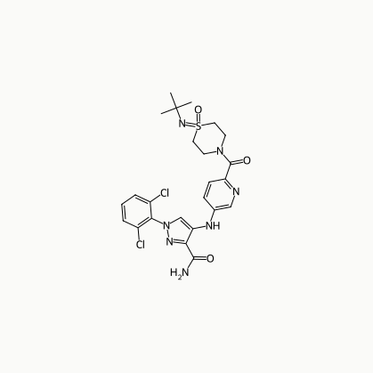 CC(C)(C)N=S1(=O)CCN(C(=O)c2ccc(Nc3cn(-c4c(Cl)cccc4Cl)nc3C(N)=O)cn2)CC1